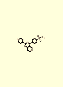 CS(=O)(=O)c1ccc(-c2nc(-c3ccncc3)nc3ccccc23)cc1